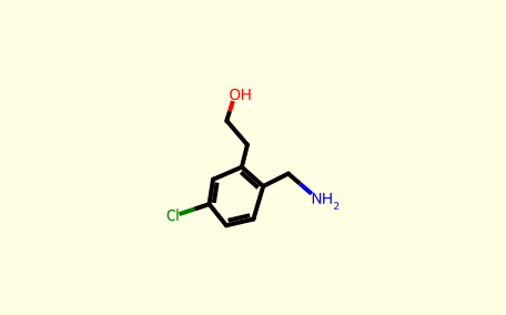 NCc1ccc(Cl)cc1CCO